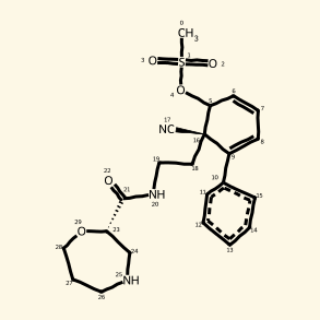 CS(=O)(=O)OC1C=CC=C(c2ccccc2)[C@]1(C#N)CCNC(=O)[C@@H]1CNCCCO1